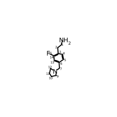 NCCc1ccc(CN2CCCC2)cc1F